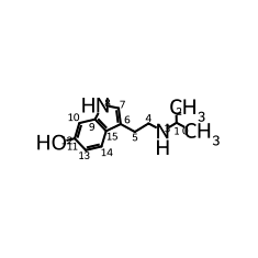 CC(C)NCCc1c[nH]c2cc(O)ccc12